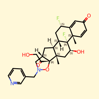 C[C@]12C=CC(=O)C=C1[C@@H](F)C[C@H]1[C@@H]3C[C@H]4CN(Cc5cccnc5)O[C@@]4(C(=O)CO)[C@@]3(C)C[C@H](O)[C@@]12F